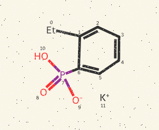 CCc1ccccc1P(=O)([O-])O.[K+]